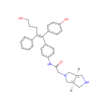 O=C(CN1C[C@H]2CNC[C@H]2C1)Nc1ccc(/C(=C(/CCCO)c2ccccc2)c2ccc(O)cc2)cc1